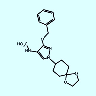 O=C(O)Nc1cn(C2CCC3(CC2)OCCO3)nc1OCc1ccccc1